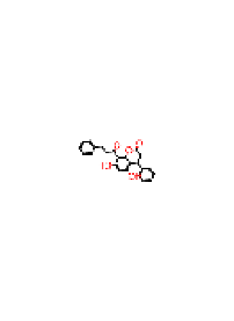 O=C1CC(c2ccccc2)c2c(O)cc(O)c(C(=O)CCc3ccccc3)c2O1